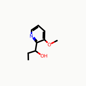 CCC(O)c1ncccc1OC